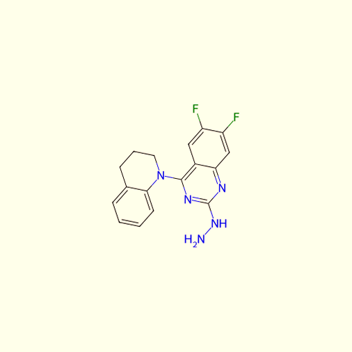 NNc1nc(N2CCCc3ccccc32)c2cc(F)c(F)cc2n1